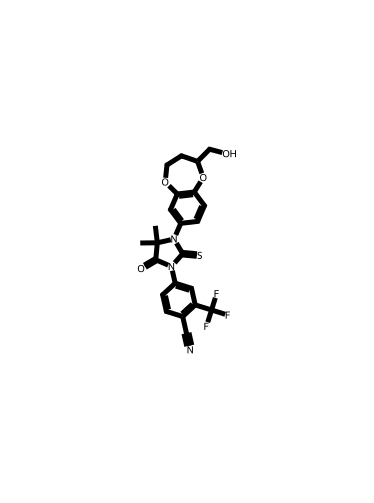 CC1(C)C(=O)N(c2ccc(C#N)c(C(F)(F)F)c2)C(=S)N1c1ccc2c(c1)OCCC(CO)O2